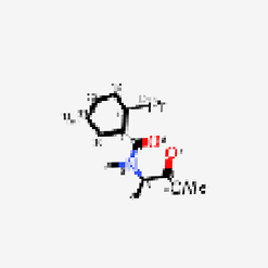 COC(=O)C(C)N(C)C(=O)[C@@H]1C[C@H](C)CC[C@H]1C(C)C